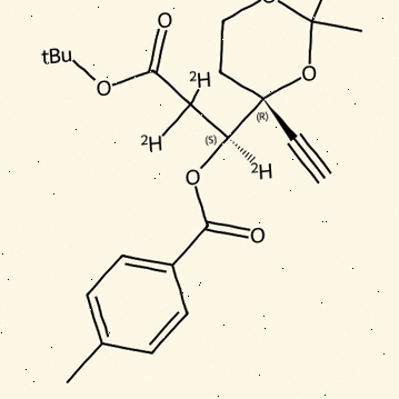 [2H]C([2H])(C(=O)OC(C)(C)C)[C@]([2H])(OC(=O)c1ccc(C)cc1)[C@]1(C#C)CCOC(C)(C)O1